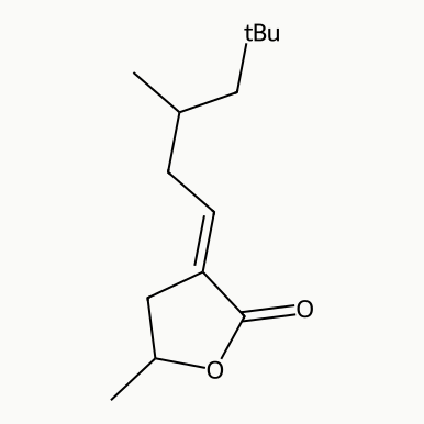 CC(C/C=C1\CC(C)OC1=O)CC(C)(C)C